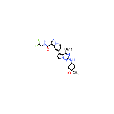 COc1nc(NC2CCC(C)(O)CC2)nn2ccc(-c3ccn4ncc(C(=O)NCC(F)F)c4c3)c12